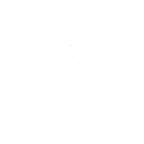 Cc1cccc(C(=O)Nc2cc(C3(C)CCSC(N)=N3)ccc2F)c1